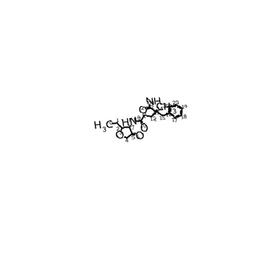 CCC1OCC(=O)C1NC(=O)[CH]CC(C)(Cc1ccccc1)C(N)=O